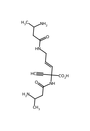 C#CC(C=CCNC(=O)CC(C)N)(NC(=O)CC(C)N)C(=O)O